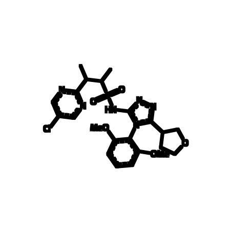 COc1cccc(OC)c1-n1c(NS(=O)(=O)C(C)C(C)c2ncc(Cl)cn2)nnc1C1CCOC1